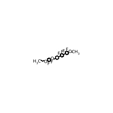 CCCCOc1ccc(OCC2CCC(c3ccc(-c4ccc(OCC)c(F)c4F)c(F)c3F)CC2)c(F)c1F